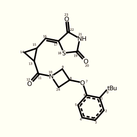 CC(C)(C)c1ccccc1OC1CN(C(=O)C2CC2C=C2SC(=O)NC2=O)C1